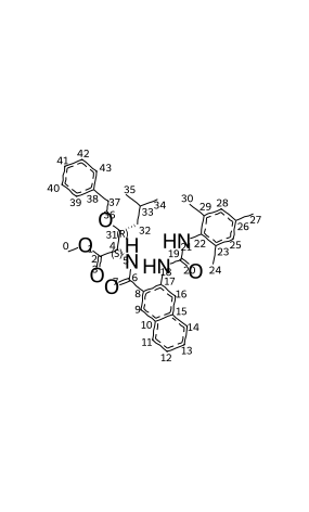 COC(=O)[C@@H](NC(=O)c1cc2ccccc2cc1NC(=O)Nc1c(C)cc(C)cc1C)[C@@H](CC(C)C)OCc1ccccc1